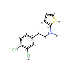 CN(CCc1ccc(Cl)c(Cl)c1)c1cccs1